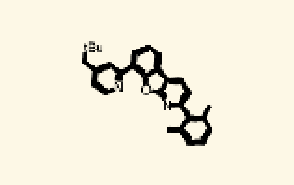 Cc1cccc(C)c1-c1ccc2c(n1)oc1c(-c3cc(CC(C)(C)C)ccn3)cccc12